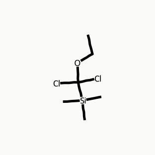 CCOC(Cl)(Cl)[Si](C)(C)C